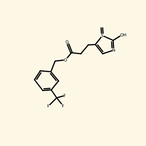 C=S1C(CCC(=O)OCc2cccc(C(F)(F)F)c2)=CN=C1O